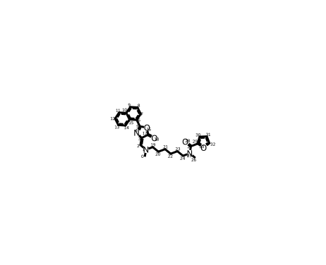 CN(/C=C1/N=C(c2cccc3ccccc23)OC1=O)CCCCCCN(C)C(=O)c1ccco1